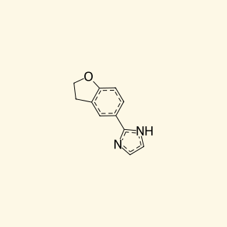 c1c[nH]c(-c2ccc3c(c2)CCO3)n1